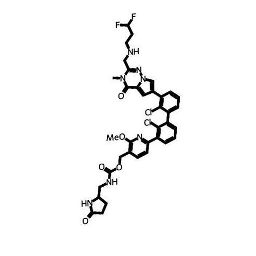 COc1nc(-c2cccc(-c3cccc(-c4cc5c(=O)n(C)c(CNCCC(F)F)nn5c4)c3Cl)c2Cl)ccc1COC(=O)NCC1CCC(=O)N1